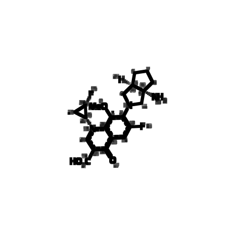 COc1c(N2C[C@H]3CCC[C@@]3(N)C2)c(F)cc2c(=O)c(C(=O)O)cn([C@@H]3C[C@@H]3F)c12